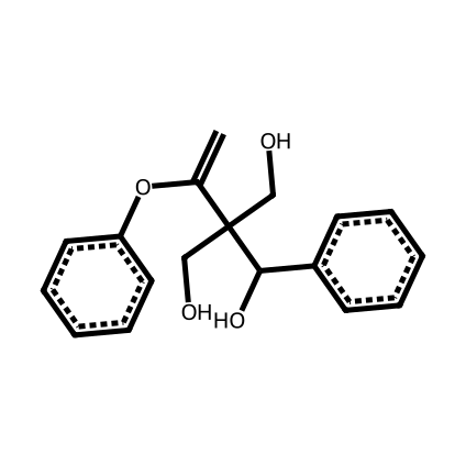 C=C(Oc1ccccc1)C(CO)(CO)C(O)c1ccccc1